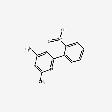 Cc1nc(N)cc(-c2ccccc2[N+](=O)[O-])n1